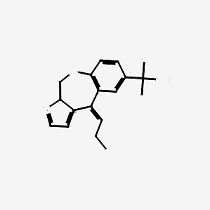 CC/C=C1\C2=CC=NC2COc2ccc(C(C)(C)O)cc21